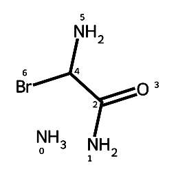 N.NC(=O)C(N)Br